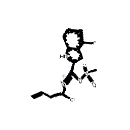 C=C/C=C(Cl)\N=C(/OS(C)(=O)=O)c1cc2c(F)cccc2[nH]1